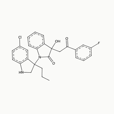 CCCC1(N2C(=O)C(O)(CC(=O)c3cccc(F)c3)c3ccccc32)CNc2ccc(Cl)cc21